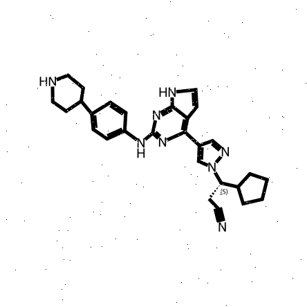 N#CC[C@@H](C1CCCC1)n1cc(-c2nc(Nc3ccc(C4CCNCC4)cc3)nc3[nH]ccc23)cn1